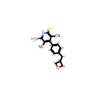 N#Cc1c(N)nc(S)c(C#N)c1-c1ccc(CC2COC2)cc1